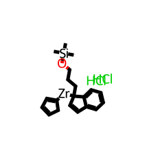 C[Si](C)(C)OCCC[C]1([Zr][C]2=CC=CC2)C=Cc2ccccc21.Cl.Cl